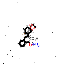 NOCc1ccccc1-c1sc2c(c1C(=O)O)CC1(CC2)OCCO1